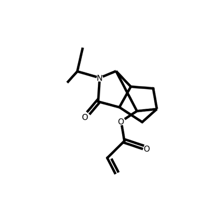 C=CC(=O)OC1C2CC3C(=O)N(C(C)C)C1C3C2